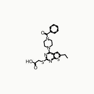 CCc1cc2c(N3CCN(C(=O)c4ccccc4)CC3)nc(SCC(=O)O)nc2s1